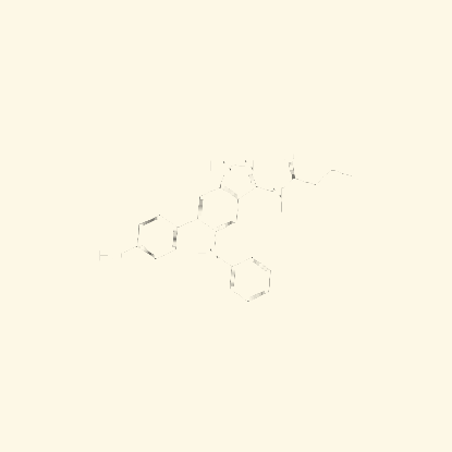 CCCC(=O)Nc1n[nH]c2cc(-c3ccc(O)cc3)c(Nc3ccccc3)cc12